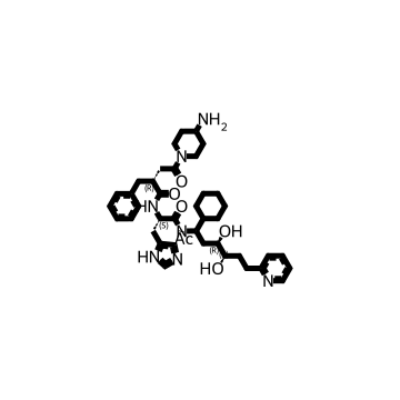 CC(=O)N(C(=O)[C@H](Cc1cnc[nH]1)NC(=O)[C@@H](CC(=O)N1CCC(N)CC1)Cc1ccccc1)C(C[C@@H](O)[C@@H](O)CCc1ccccn1)C1CCCCC1